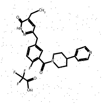 CCc1cc(Cc2ccc(F)c(C(=O)N3CCC(c4ccncc4)CC3)c2)n[nH]c1=O.O=C(O)C(F)(F)F